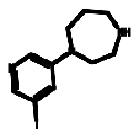 Ic1cncc(N2CCCNCC2)c1